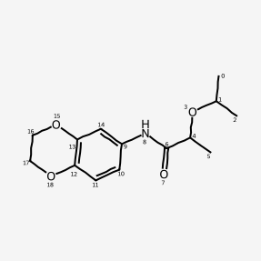 CC(C)OC(C)C(=O)Nc1ccc2c(c1)OCCO2